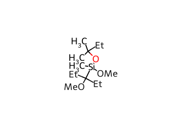 CCC(C)(C)O[Si](C)(OC)C(CC)(CC)OC